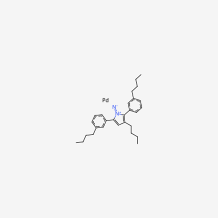 CCCCC1=C(c2cccc(CCCC)c2)[N+](=[N-])C(c2cccc(CCCC)c2)=C1.[Pd]